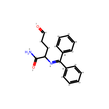 NC(=O)C(CCC=O)N=C(c1ccccc1)c1ccccc1